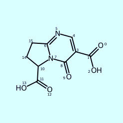 O=C(O)c1cnc2n(c1=O)C(C(=O)O)CC2